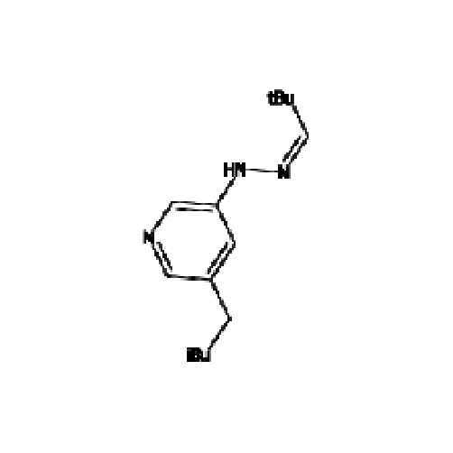 CCC(C)Cc1cncc(N/N=C\C(C)(C)C)c1